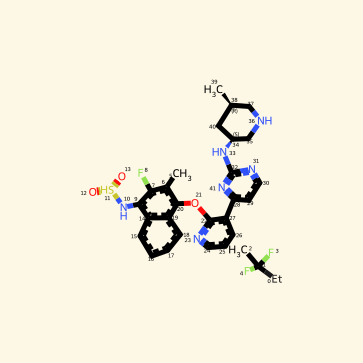 CCC(C)(F)F.Cc1c(F)c(N[SH](=O)=O)c2ccccc2c1Oc1ncccc1-c1ccnc(N[C@@H]2CNC[C@H](C)C2)n1